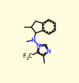 Cc1n[c]n(N(C)C2c3ccccc3CC2C)c1C(F)(F)F